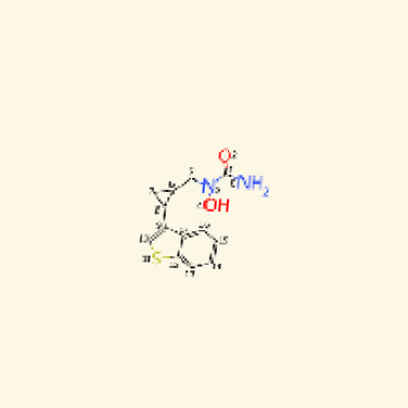 NC(=O)N(O)CC1CC1c1csc2ccccc12